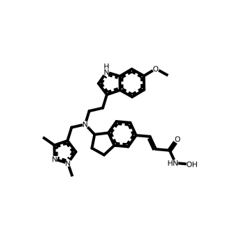 COc1ccc2c(CCN(Cc3cn(C)nc3C)C3CCc4cc(/C=C/C(=O)NO)ccc43)c[nH]c2c1